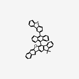 CC1(C)c2ccccc2-c2c1cc1c(oc3cc4ccccc4cc31)c2-c1c2ccccc2c(-c2ccc3sc4ccccc4c3c2)c2ccccc12